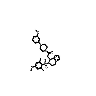 COc1cccc(N2CCN(C(=O)CC3c4cccn4CCN3S(=O)(=O)c3c(C)cc(OC)cc3C)CC2)c1